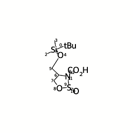 CC(C)(C)[Si](C)(C)OCC1COS(=O)N1C(=O)O